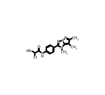 CCCCC(CC)C(=O)Nc1ccc(-c2nn3nc(C)c(C)c3n2C)cc1